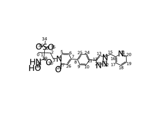 CC(CCn1ccc(-c2ccc(-c3cn(Cc4ccccn4)nn3)cc2)cc1=O)(C(=O)NO)S(C)(=O)=O